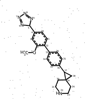 COc1cc(C2N=NN=N2)ccc1-c1ccc(C2CC23CCNCC3)cc1